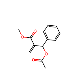 C=C(C(=O)OC)C(OC(C)=O)c1ccccc1